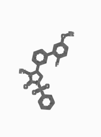 CCOc1ccc(F)c(-c2cccc(C3CN(S(=O)(=O)c4ccccc4)C(=O)N3C(C)C)c2)c1